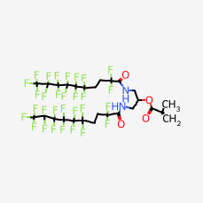 C=C(C)C(=O)OC(CNC(=O)C(F)(F)CCC(F)(F)C(F)(F)C(F)(F)C(F)(F)C(F)(F)C(F)(F)F)CNC(=O)C(F)(F)CCC(F)(F)C(F)(F)C(F)(F)C(F)(F)C(F)(F)C(F)(F)F